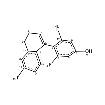 Oc1cc(F)c(C2=CCCc3cc(I)ccc32)c(F)c1